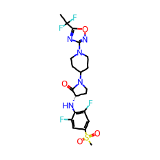 CC(F)(F)c1nc(N2CCC(N3CC[C@H](Nc4c(F)cc(S(C)(=O)=O)cc4F)C3=O)CC2)no1